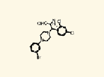 NC(C=O)C(c1ccc(Cl)cc1Cl)N1CCN(c2cccc(Br)c2)CC1